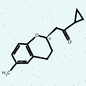 Cc1ccc2c(c1)CC[C@H](CC(=O)C1CC1)O2